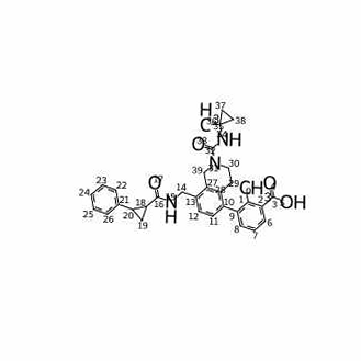 Cc1c(C(=O)O)cccc1-c1ccc(CNC(=O)C2CC2c2ccccc2)c2c1CCN(C(=O)NC1(C)CC1)C2